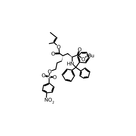 C/C=C(\C)OC(=O)[C@@H](CCCOS(=O)(=O)c1ccc([N+](=O)[O-])cc1)C[C@H](NC(c1ccccc1)(c1ccccc1)c1ccccc1)C(=O)OC(C)(C)C